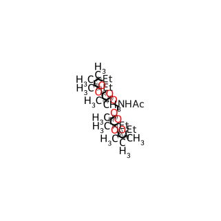 CCC1O[C@@H](O[C@H]2C(CC)O[C@H](OCC(CO[C@H]3OC(CC)[C@H](O[C@@H]4OC(CC)[C@H](C)C(C)[C@H]4C)C(C)[C@H]3C)NC(C)=O)[C@H](C)C2C)[C@H](C)C(C)[C@H]1C